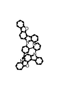 N#Cc1ccc(-n2c3ccccc3c3c4oc5ccccc5c4ccc32)c(-c2ncccc2-n2c3ccccc3c3c4oc5ccccc5c4ccc32)c1